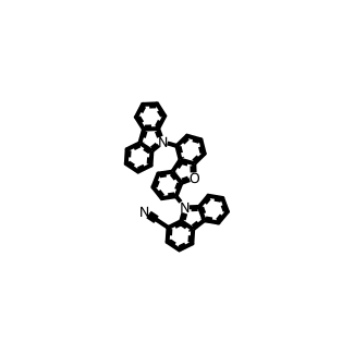 N#Cc1cccc2c3ccccc3n(-c3cccc4c3oc3cccc(-n5c6ccccc6c6ccccc65)c34)c12